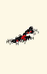 Cc1ccccc1[C@@H]1COCCN1[C@@H]1CC2(CCN(c3ccc(C(=O)NS(=O)(=O)c4cc5c(c([N+](=O)[O-])c4)N[C@@H](C4(F)CCC(C)(O)CC4)CO5)c(N4c5cc6cc[nH]c6nc5O[C@H]5COCC[C@@H]54)c3)CC2)C1(C)C